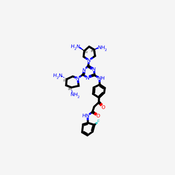 N[C@@H]1C[C@H](N)CN(c2nc(Nc3ccc(C(=O)CC(=O)Nc4ccccc4F)cc3)nc(N3C[C@H](N)C[C@H](N)C3)n2)C1